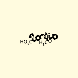 CC(=O)N(Cc1ccc(C[C@@H](C(=O)O)n2cccc2)cc1)Cc1nc(-c2ccccc2)oc1C